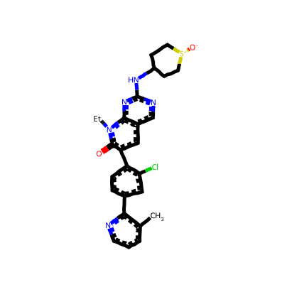 CCn1c(=O)c(-c2ccc(-c3ncccc3C)cc2Cl)cc2cnc(NC3CC[S+]([O-])CC3)nc21